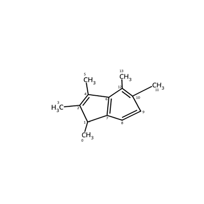 C[C]1C(C)=C(C)c2c1ccc(C)c2C